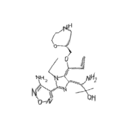 C=C/C(OC[C@@H]1CNCCO1)=c1\c(=C(/N)C(C)(C)O)nc(-c2nonc2N)n1CC